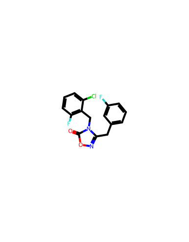 O=c1onc(Cc2cccc(F)c2)n1Cc1c(F)cccc1Cl